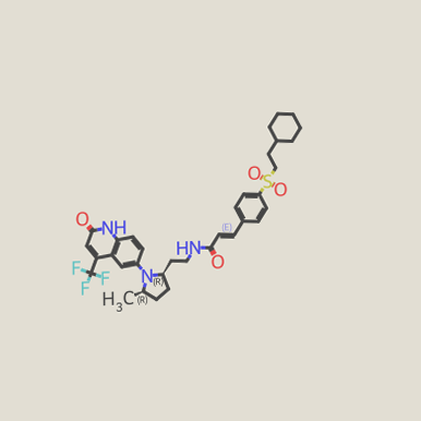 C[C@@H]1CC[C@H](CCNC(=O)/C=C/c2ccc(S(=O)(=O)CCC3CCCCC3)cc2)N1c1ccc2[nH]c(=O)cc(C(F)(F)F)c2c1